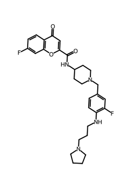 O=C(NC1CCN(Cc2ccc(NCCCN3CCCC3)c(F)c2)CC1)c1cc(=O)c2ccc(F)cc2o1